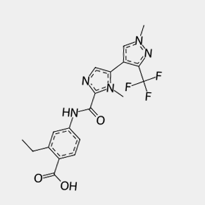 CCc1cc(NC(=O)c2ncc(-c3cn(C)nc3C(F)(F)F)n2C)ccc1C(=O)O